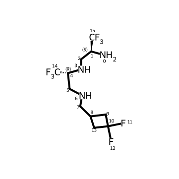 N[C@@H](CN[C@H](CNCC1CC(F)(F)C1)C(F)(F)F)C(F)(F)F